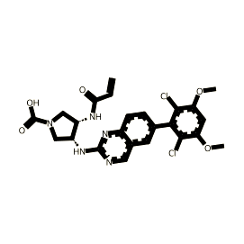 C=CC(=O)N[C@H]1CN(C(=O)O)C[C@H]1Nc1ncc2cc(-c3c(Cl)c(OC)cc(OC)c3Cl)ccc2n1